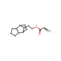 C=CC(=O)OCCC1C2CCC1C1CCCC12